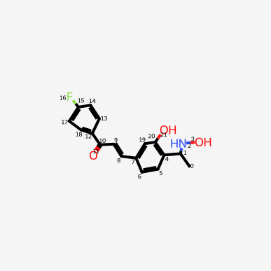 CC(NO)c1ccc(C=CC(=O)c2ccc(F)cc2)cc1O